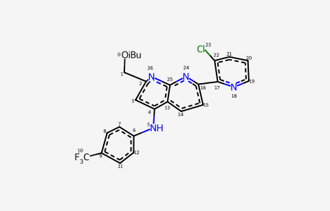 CC(C)COCc1cc(Nc2ccc(C(F)(F)F)cc2)c2ccc(-c3ncccc3Cl)nc2n1